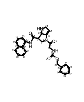 O=C(NCC(=O)N1CC(C(=O)Nc2cccc3ccccc23)C2NCC=C21)OCc1ccccc1